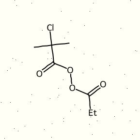 CCC(=O)OOC(=O)C(C)(C)Cl